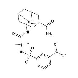 CC(C)(NS(=O)(=O)c1cccc([N+](=O)[O-])c1)C(=O)NC12CC3CC(C1)CC(C(N)=O)(C3)C2